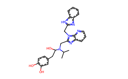 CC(C)N(Cc1nc2cccnc2n1Cc1nc2ccccc2[nH]1)C(O)Cc1ccc(O)c(O)c1